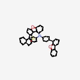 c1ccc(N(c2ccc(-c3cccc4c3oc3ccccc34)cc2)c2cccc3oc4ccc5c(sc6ccc7ccccc7c65)c4c23)cc1